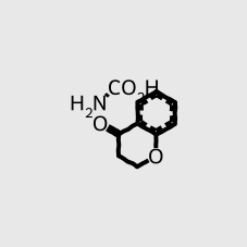 NC(=O)O.O=C1CCOc2ccccc21